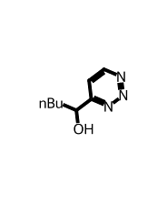 CCCCC(O)c1ccnnn1